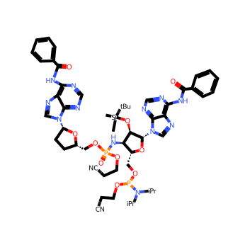 CC(C)N(C(C)C)P(OCCC#N)OC[C@H]1O[C@@H](n2cnc3c(NC(=O)c4ccccc4)ncnc32)[C@H](O[Si](C)(C)C(C)(C)C)[C@@H]1NP(=O)(OCCC#N)OC[C@@H]1CC[C@H](n2cnc3c(NC(=O)c4ccccc4)ncnc32)O1